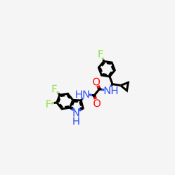 O=C(Nc1c[nH]c2cc(F)c(F)cc12)C(=O)NC(c1ccc(F)cc1)C1CC1